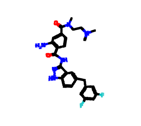 CN(C)CCN(C)C(=O)c1ccc(C(=O)Nc2n[nH]c3ccc(Cc4cc(F)cc(F)c4)cc23)c(N)c1